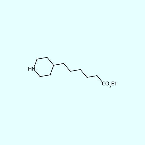 CCOC(=O)CCCCCC1CCNCC1